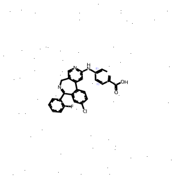 C=C(/C=C\C(=C/C)Nc1cc2c(cn1)CN=C(c1ccccc1F)c1cc(Cl)ccc1-2)C(=O)O